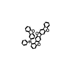 c1ccc(N(c2ccc3oc4ccccc4c3c2)c2cccc3oc4cc5c(cc4c23)oc2cc3c(cc25)oc2ccccc23)cc1